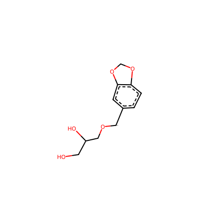 OCC(O)CO[CH]c1ccc2c(c1)OCO2